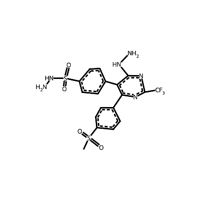 CS(=O)(=O)c1ccc(-c2nc(C(F)(F)F)nc(NN)c2-c2ccc(S(=O)(=O)NN)cc2)cc1